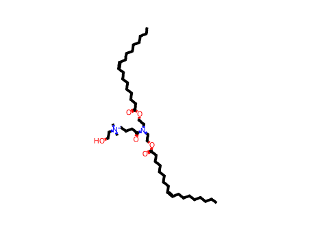 CCCCCCCC/C=C\CCCCCCCC(=O)OCCN(CCOC(=O)CCCCCCC/C=C\CCCCCCCC)C(=O)CCC[N+](C)(C)CCO